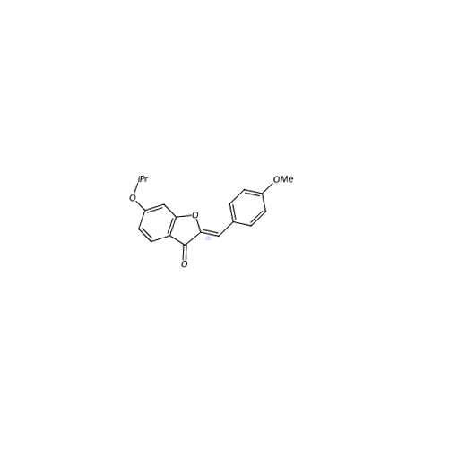 COc1ccc(/C=C2\Oc3cc(OC(C)C)ccc3C2=O)cc1